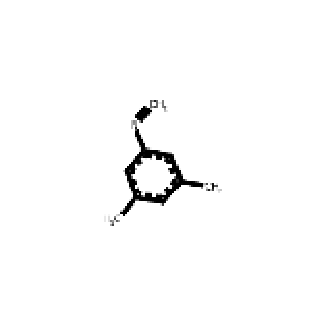 C=Nc1cc(C)cc(C)c1